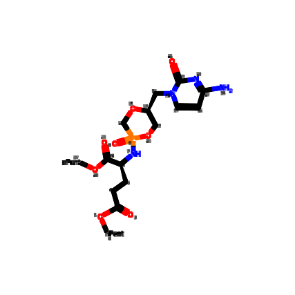 CCCCCOC(=O)CC[C@H](NP1(=O)CO[C@@H](Cn2ccc(N)nc2=O)CO1)C(=O)OCCCCC